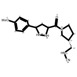 COc1ccc(C2CC(C(=O)N3CC[C@H](CNC#N)C3)NN2)cc1